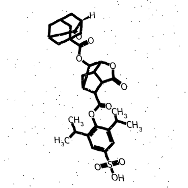 CC(C)c1cc(S(=O)(=O)O)cc(C(C)C)c1OC(=O)C1C2CC3C(OC(=O)C31)C2OC(=O)C12CC3CC(C1)C(=O)[C@H](C3)C2